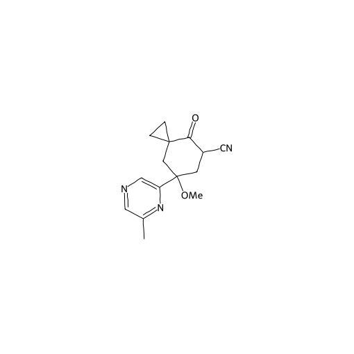 COC1(c2cncc(C)n2)CC(C#N)C(=O)C2(CC2)C1